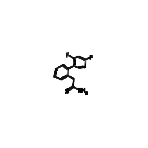 NC(=S)Cc1ccccc1-c1ccc(F)cc1F